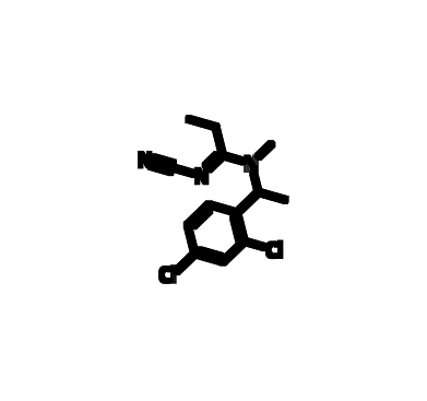 CCC(=NC#N)N(C)C(C)c1ccc(Cl)cc1Cl